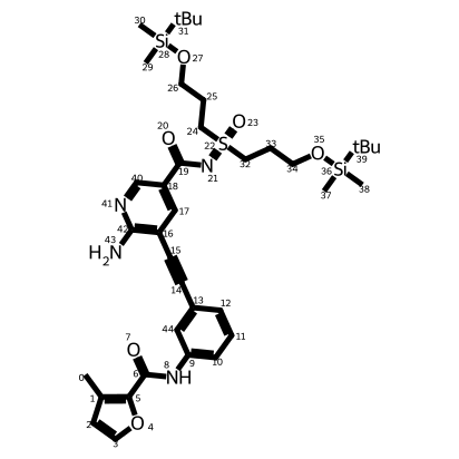 Cc1ccoc1C(=O)Nc1cccc(C#Cc2cc(C(=O)N=S(=O)(CCCO[Si](C)(C)C(C)(C)C)CCCO[Si](C)(C)C(C)(C)C)cnc2N)c1